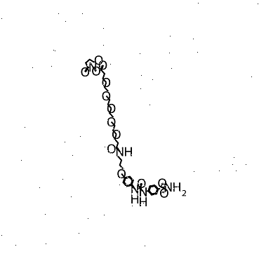 NS(=O)(=O)c1ccc(NC(=O)Nc2ccc(OCCCCNC(=O)CCOCCOCCOCCOCCOCCC(=O)ON3C(=O)CCC3=O)cc2)cc1